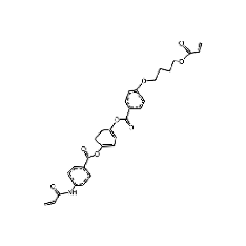 C=CC(=O)Nc1ccc(C(=O)OC2=CC=C(OC(=O)c3ccc(OCCCCOC(=O)C=C)cc3)CC2)cc1